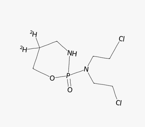 [2H]C1([2H])CNP(=O)(N(CCCl)CCCl)OC1